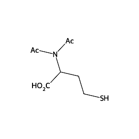 CC(=O)N(C(C)=O)C(CCS)C(=O)O